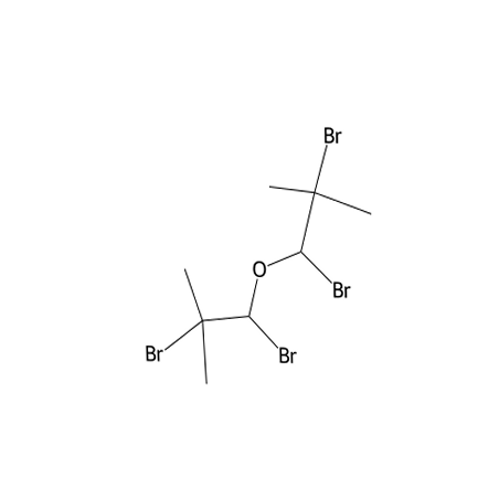 CC(C)(Br)C(Br)OC(Br)C(C)(C)Br